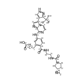 CCc1cc(Nc2nccn3c(-c4c[nH]nc4C(F)(F)F)cnc23)ccc1C(=O)NCCNC(=O)N1CC[C@H](N)C1.O=CO